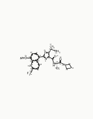 CC[C@H](NC(=O)c1nc(-c2ccc(OC)c3nc(C(F)(F)F)ccc23)oc1[C@H](C)N)C(=O)N1CCC1